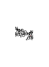 O=C(OC(=O)c1cccc(N(Cc2cnccn2)c2ccc(OC(F)F)c(OCC3CC3)c2)c1)c1ccc(N(Cc2cnccn2)c2ccc(OC(F)F)c(OCC3CC3)c2)cc1